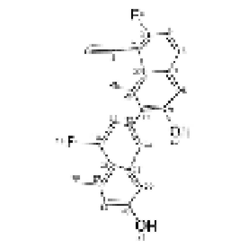 C#Cc1c(F)ccc2cc(O)c(-c3cc(F)c4c(C)cc(O)cc4c3)c(C)c12